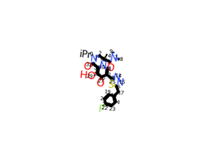 CC(C)N1C[C@](C)(C(=O)N(C)C)n2cc(-c3nnc(Cc4ccc(F)cc4)s3)c(=O)c(O)c2C1=O